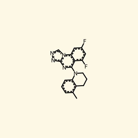 Cc1cccc2c1CCCN2c1nc2nncn2c2cc(F)cc(F)c12